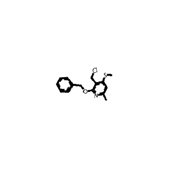 CSc1cc(C)nc(OCc2ccccc2)c1CCl